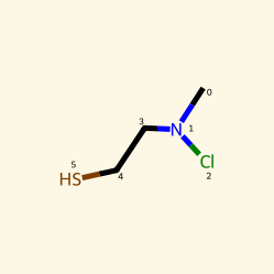 CN(Cl)CCS